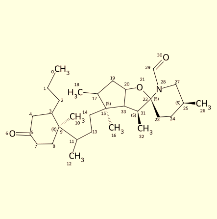 CCCC1CC(=O)CC[C@]1(C)C(C)CC[C@@]1(C)C(C)CC2O[C@@]3(CC[C@H](C)CN3C=O)[C@@H](C)C21